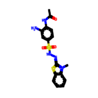 CC(=O)Nc1ccc(S(=O)(=O)N/N=c2\sc3ccccc3n2C)cc1N